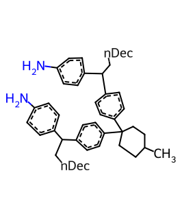 CCCCCCCCCCCC(c1ccc(N)cc1)c1ccc(C2(c3ccc(C(CCCCCCCCCCC)c4ccc(N)cc4)cc3)CCC(C)CC2)cc1